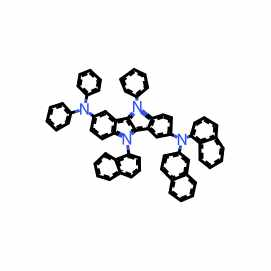 c1ccc(N(c2ccccc2)c2ccc3c(c2)c2c(c4cc(N(c5ccc6ccccc6c5)c5cccc6ccccc56)ccc4n2-c2ccccc2)n3-c2cccc3ccccc23)cc1